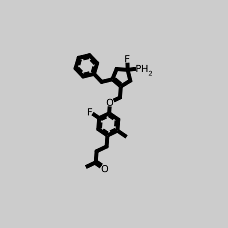 CC(=O)CCc1cc(F)c(OCC2=C(Cc3ccccc3)CC(F)(P)C2)cc1C